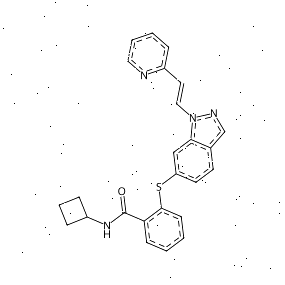 O=C(NC1CCC1)c1ccccc1Sc1ccc2cnn(C=Cc3ccccn3)c2c1